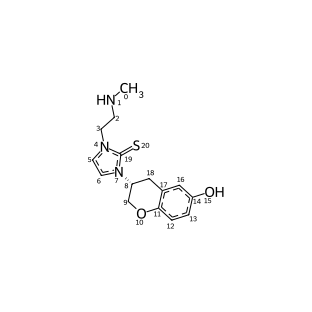 CNCCn1ccn([C@H]2COc3ccc(O)cc3C2)c1=S